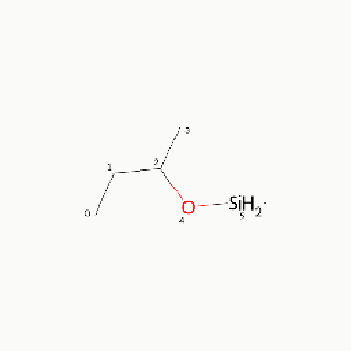 CCC(C)O[SiH2]